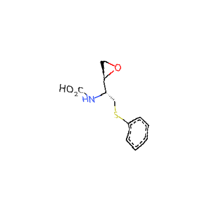 O=C(O)N[C@@H](CSc1ccccc1)[C@H]1CO1